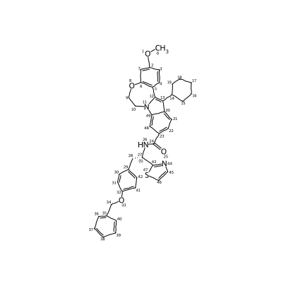 COc1ccc2c(c1)OCCn1c-2c(C2CCCCC2)c2ccc(C(=O)N[C@@H](Cc3ccc(OCc4ccccc4)cc3)c3nccs3)cc21